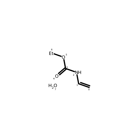 C=CNC(=O)OCC.O